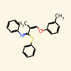 CC(=COc1cccc(C)c1)C(=Nc1ccccc1)Sc1ccccc1